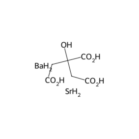 O=C(O)CC(O)(CC(=O)O)C(=O)O.[BaH2].[SrH2]